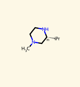 CC(C)[C@@H]1CN(C)CCN1